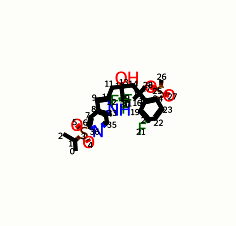 CC(C)S(=O)(=O)c1cc2cc(CC(O)(CC(C)(C)c3cc(F)ccc3S(C)(=O)=O)C(F)(F)F)[nH]c2cn1